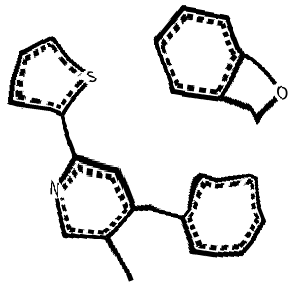 Cc1cnc(-c2cccs2)cc1-c1ccccc1.c1ccc2c(c1)CO2